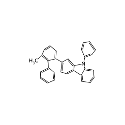 Cc1cccc(-c2ccc3c4ccccc4n(-c4ccccc4)c3c2)c1-c1ccccc1